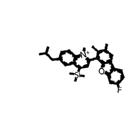 Cc1cc2c(oc3cc(F)ccc32)c(-c2cc([Si](C)(C)C)c3cc(CC(C)C)ccc3[n+]2C)c1C